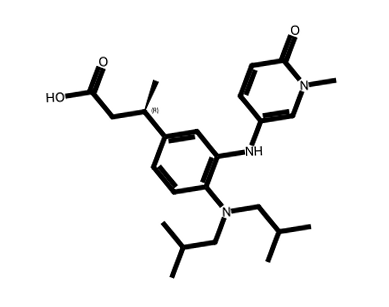 CC(C)CN(CC(C)C)c1ccc([C@H](C)CC(=O)O)cc1Nc1ccc(=O)n(C)c1